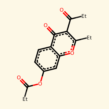 CCC(=O)Oc1ccc2c(=O)c(C(=O)CC)c(CC)oc2c1